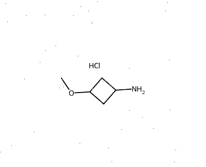 COC1CC(N)C1.Cl